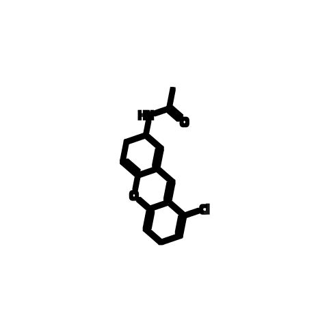 CC(=O)NC1C=C2C=C3C(Cl)=CCC=C3OC2=CC1